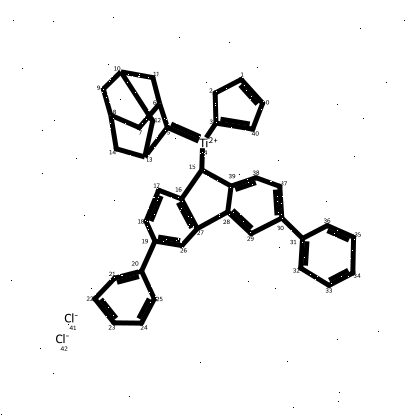 C1=CC[C]([Ti+2](=[C]2C3CC4CC(C3)CC2C4)[CH]2c3ccc(-c4ccccc4)cc3-c3cc(-c4ccccc4)ccc32)=C1.[Cl-].[Cl-]